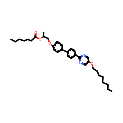 CCCCCCCCOc1cnc(-c2ccc(-c3ccc(OCC(C)OC(=O)CCCCCC)cc3)cc2)nc1